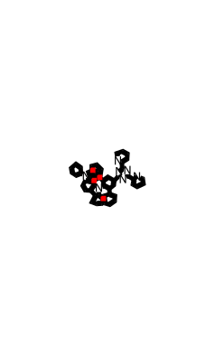 c1ccc(-c2cc(-c3nc(-c4ccccn4)nc(-c4ccccn4)n3)cc(-c3ccccc3)c2-n2c3ccccc3c3ccc4c(c5ccccc5n4-c4ccccc4)c32)cc1